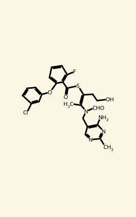 CC(=C(CCO)SC(=O)c1c(F)cccc1Oc1cccc(Cl)c1)N(C=O)Cc1cnc(C)nc1N